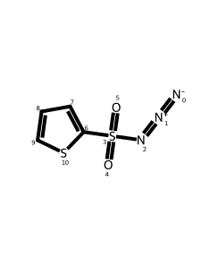 [N-]=[N+]=NS(=O)(=O)c1cccs1